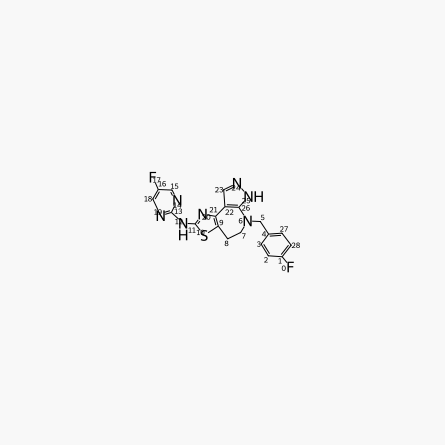 Fc1ccc(CN2CCc3sc(Nc4ncc(F)cn4)nc3-c3cn[nH]c32)cc1